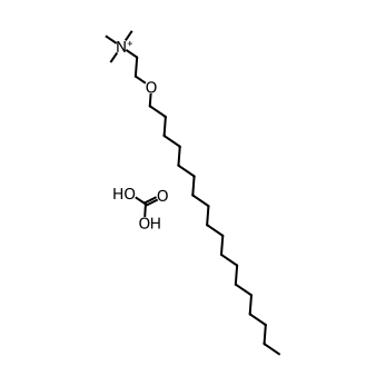 CCCCCCCCCCCCCCCCCCOCC[N+](C)(C)C.O=C(O)O